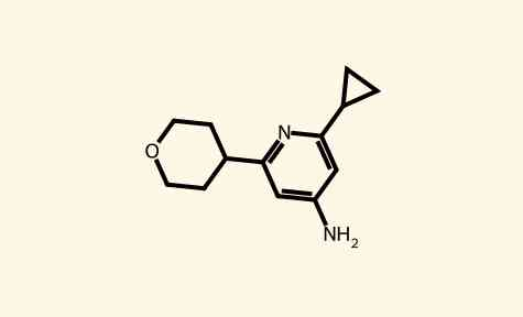 Nc1cc(C2CCOCC2)nc(C2CC2)c1